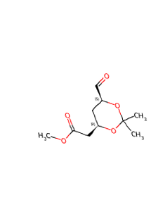 COC(=O)C[C@H]1C[C@@H](C=O)OC(C)(C)O1